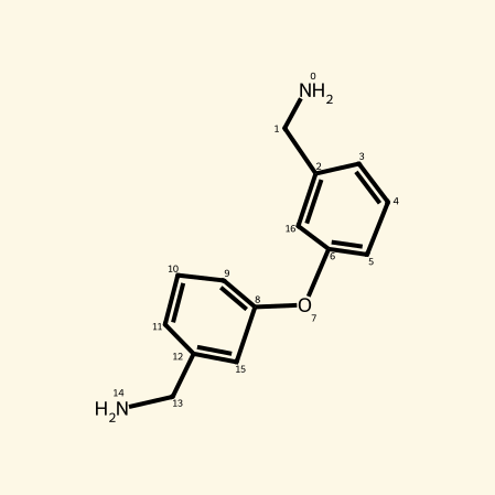 NCc1cccc(Oc2cccc(CN)c2)c1